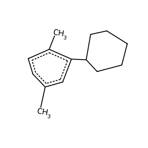 Cc1ccc(C)c(C2CCCCC2)c1